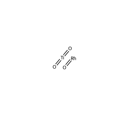 [O]=[Rh].[O]=[Ti]=[O]